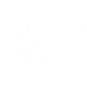 CC(C)(C)c1ccc(C(C)(O)O[Si](C)(C)C(C)(C)C)cc1